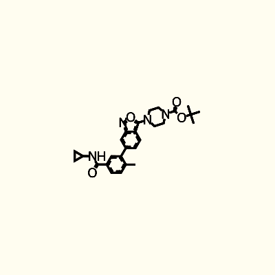 Cc1ccc(C(=O)NC2CC2)cc1-c1ccc2c(N3CCN(C(=O)OC(C)(C)C)CC3)onc2c1